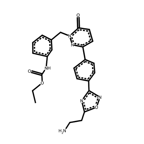 CCOC(=O)Nc1cccc(Cn2nc(-c3ccc(-c4noc(CCN)n4)cc3)ccc2=O)c1